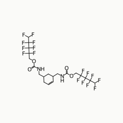 O=C(NCC1C=CCC(CNC(=O)OCC(F)(F)C(F)(F)C(F)(F)C(F)F)C1)OCC(F)(F)C(F)(F)C(F)(F)C(F)F